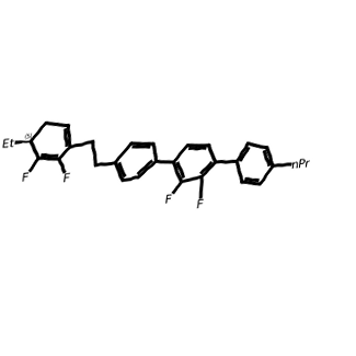 CCCc1ccc(-c2ccc(-c3ccc(CCC4=CC[C@H](CC)C(F)=C4F)cc3)c(F)c2F)cc1